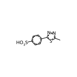 Cc1nnc(-c2ccc(S(=O)(=O)O)cc2)s1